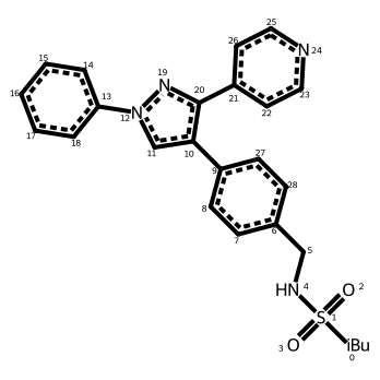 CCC(C)S(=O)(=O)NCc1ccc(-c2cn(-c3ccccc3)nc2-c2ccncc2)cc1